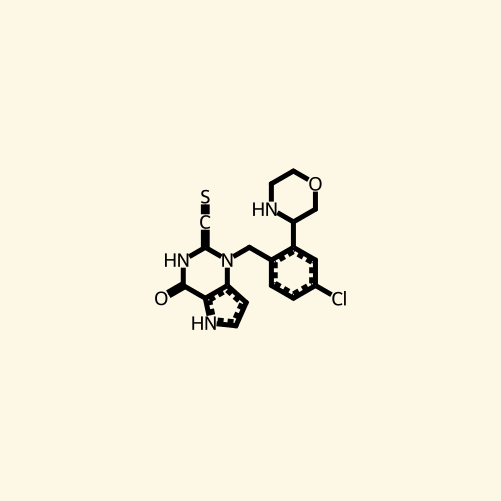 O=C1NC(=C=S)N(Cc2ccc(Cl)cc2C2COCCN2)c2cc[nH]c21